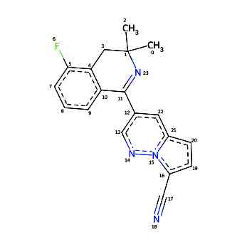 CC1(C)Cc2c(F)cccc2C(c2cnn3c(C#N)ccc3c2)=N1